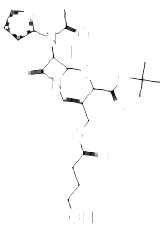 CC(=O)N(c1cccs1)C1C(=O)N2C=C(COC(=O)CCCO)C(C(=O)OC(C)(C)C)S[C@H]12